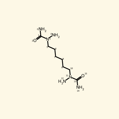 NC(=O)N(N)CCCCCCN(N)C(N)=O